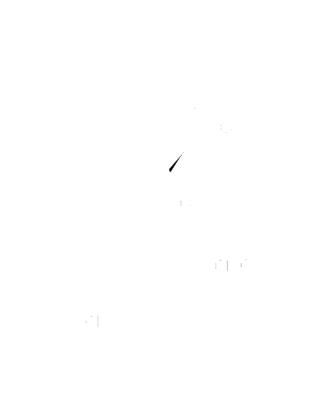 O=Cc1cc(Cl)ccc1OC[C@H]1CO1